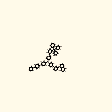 c1ccc(-c2ccc(-c3ccc(N(c4ccc(-c5cccc(-c6cccc7ccccc67)c5)cc4)c4ccc(-c5ccc6c(c5)C(c5ccccc5)(c5ccccc5)c5ccccc5-6)cc4)cc3)cc2)cc1